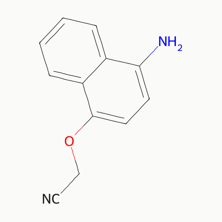 N#CCOc1ccc(N)c2ccccc12